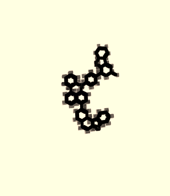 CC1C=C2C3=CC=CCC3SC2=C(c2ccc(N(c3ccc(C4=CC5c6c(oc7ccccc67)C=CC5C=C4)cc3)c3ccccc3-c3ccccc3)cc2)C1